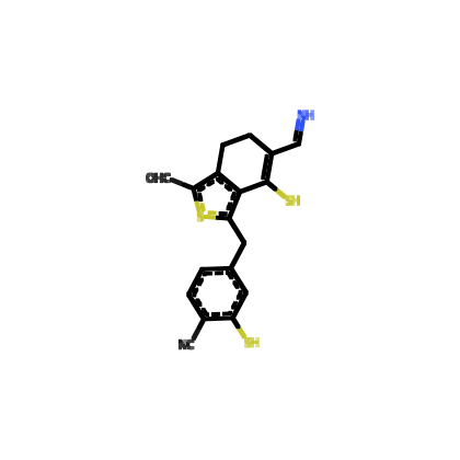 N#Cc1ccc(Cc2sc(C=O)c3c2C(S)=C(C=N)CC3)cc1S